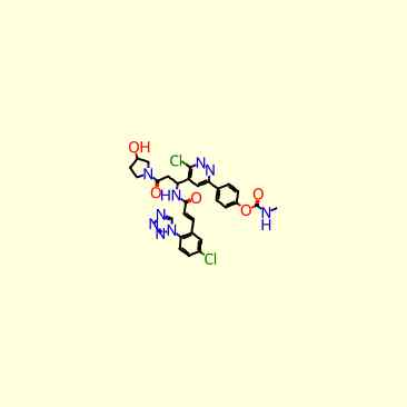 CNC(=O)Oc1ccc(-c2cc(C(CC(=O)N3CCC(O)C3)NC(=O)/C=C/c3cc(Cl)ccc3-n3cnnn3)c(Cl)nn2)cc1